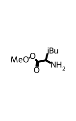 CCC(C)C(N)C(=O)OOC